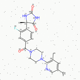 CCc1cnc(N2CCN(C(=O)c3ccc([C@]4(C)NC(=O)NC4=O)c(F)c3)CC2)c(C)c1